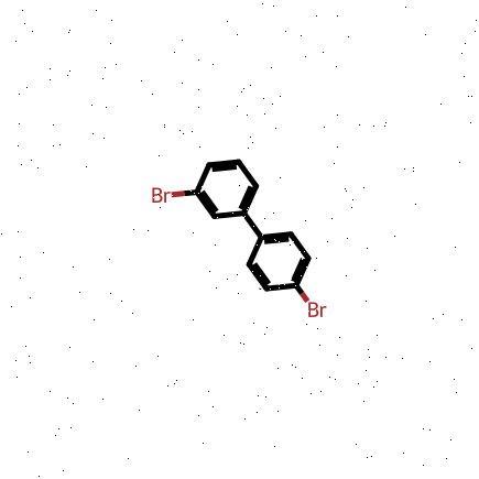 Brc1[c]cc(-c2cccc(Br)c2)cc1